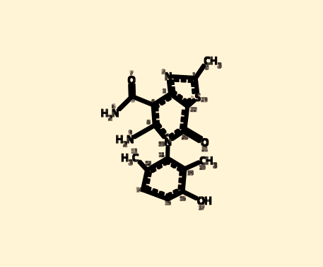 Cc1nc2c(C(N)=O)c(N)n(-c3c(C)ccc(O)c3C)c(=O)c2s1